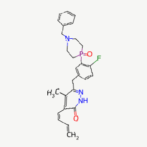 C=C/C=C\c1c(C)c(Cc2ccc(F)c(P3(=O)CCN(Cc4ccccc4)CC3)c2)n[nH]c1=O